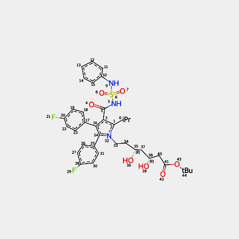 CC(C)c1c(C(=O)NS(=O)(=O)Nc2ccccc2)c(-c2ccc(F)cc2)c(-c2ccc(F)cc2)n1CC[C@@H](O)C[C@@H](O)CC(=O)OC(C)(C)C